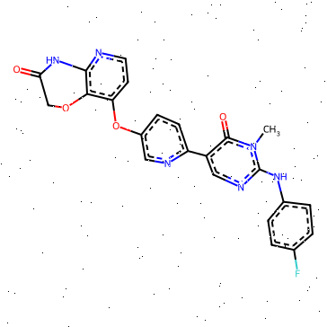 Cn1c(Nc2ccc(F)cc2)ncc(-c2ccc(Oc3ccnc4c3OCC(=O)N4)cn2)c1=O